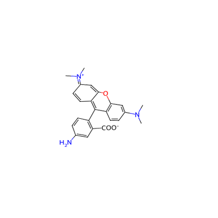 CN(C)c1ccc2c(-c3ccc(N)cc3C(=O)[O-])c3ccc(=[N+](C)C)cc-3oc2c1